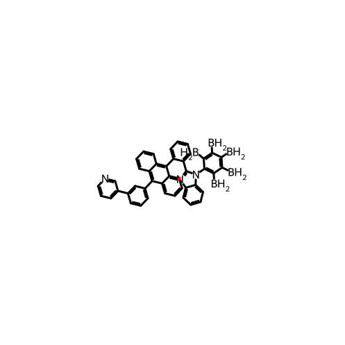 Bc1c(B)c(B)c(-n2c(-c3ccccc3-c3c4ccccc4c(-c4cccc(-c5cccnc5)c4)c4ccccc34)nc3ccccc32)c(B)c1B